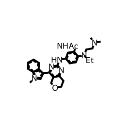 CCN(CCN(C)C)c1ccc(Nc2nc3c(c(-c4cn(C)c5ccccc45)n2)COCC3)cc1NC(C)=O